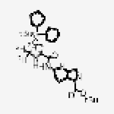 [2H]C([2H])([2H])N[C@H](CO[Si](c1ccccc1)(c1ccccc1)C(C)(C)C)C(=O)Nc1ccc2c(cnn2C(=O)OC(C)(C)C)n1